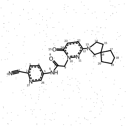 N#Cc1ccc(NC(=O)Cn2nc(N3CCC4(CCCC4)C3)ccc2=O)cn1